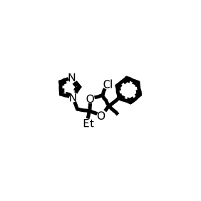 CCC1(Cn2ccnc2)OC(Cl)C(C)(c2ccccc2)O1